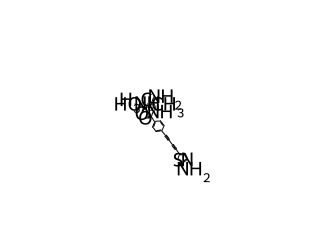 CC(C)(N)[C@H](NC(=O)c1ccc(C#CC#Cc2cnc(N)s2)cc1)C(=O)NO